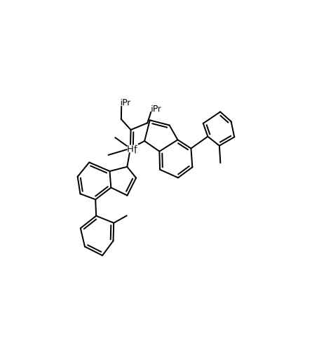 Cc1ccccc1-c1cccc2c1C=C[CH]2[Hf]([CH3])([CH3])(=[C](CC(C)C)CC(C)C)[CH]1C=Cc2c(-c3ccccc3C)cccc21